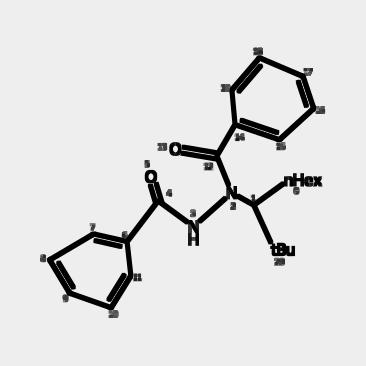 CCCCCCC(N(NC(=O)c1ccccc1)C(=O)c1ccccc1)C(C)(C)C